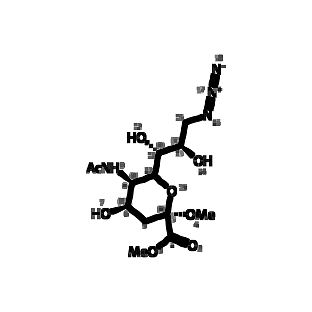 COC(=O)[C@@]1(OC)C[C@@H](O)[C@@H](NC(C)=O)C([C@H](O)[C@H](O)CN=[N+]=[N-])O1